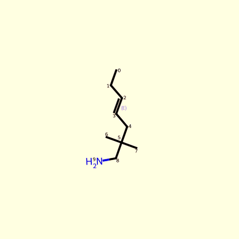 CC/C=C/CC(C)(C)CN